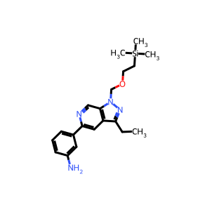 CCc1nn(COCC[Si](C)(C)C)c2cnc(-c3cccc(N)c3)cc12